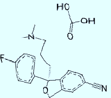 CN(C)CCC[C@@]1(c2ccc(F)cc2)OCc2cc(C#N)ccc21.O=C(O)O